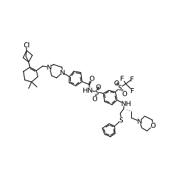 CC1(C)CCC(C23CC(Cl)(C2)C3)=C(CN2CCN(c3ccc(C(=O)NS(=O)(=O)c4ccc(N[C@H](CCN5CCOCC5)CSc5ccccc5)c(S(=O)(=O)C(F)(F)F)c4)cc3)CC2)C1